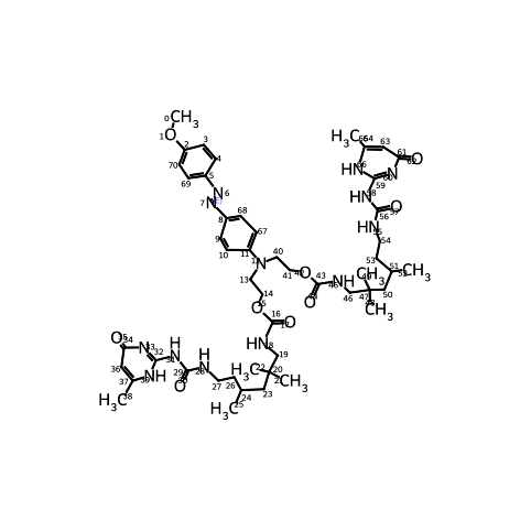 COc1ccc(/N=N/c2ccc(N(CCOC(=O)NCC(C)(C)CC(C)CCNC(=O)Nc3nc(=O)cc(C)[nH]3)CCOC(=O)NCC(C)(C)CC(C)CCNC(=O)Nc3nc(=O)cc(C)[nH]3)cc2)cc1